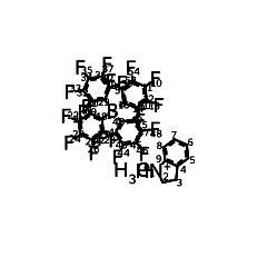 C[NH+]1CCc2ccccc21.Fc1c(F)c(F)c([B-](c2c(F)c(F)c(F)c(F)c2F)(c2c(F)c(F)c(F)c(F)c2F)c2c(F)c(F)c(F)c(F)c2F)c(F)c1F